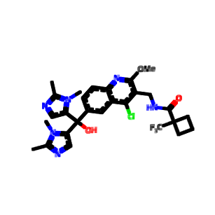 COc1nc2ccc(C(O)(c3cnc(C)n3C)c3cnc(C)n3C)cc2c(Cl)c1CNC(=O)C1(C(F)(F)F)CCC1